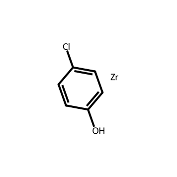 Oc1ccc(Cl)cc1.[Zr]